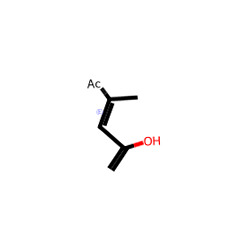 C=C(O)/C=C(\C)C(C)=O